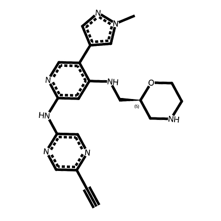 C#Cc1cnc(Nc2cc(NC[C@@H]3CNCCO3)c(-c3cnn(C)c3)cn2)cn1